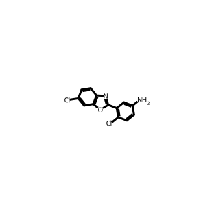 Nc1ccc(Cl)c(-c2nc3ccc(Cl)cc3o2)c1